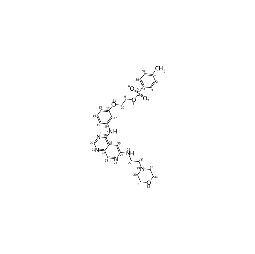 Cc1ccc(S(=O)(=O)OCCOc2cccc(Nc3ncnc4cnc(NCCN5CCOCC5)cc34)c2)cc1